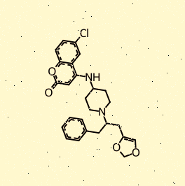 O=c1cc(NC2CCN(C(CC3=COCO3)Cc3ccccc3)CC2)c2cc(Cl)ccc2o1